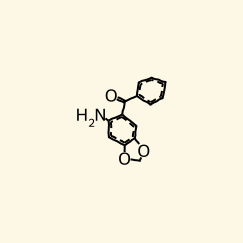 Nc1cc2c(cc1C(=O)c1ccccc1)OCO2